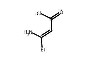 CCC(N)=CC(=O)Cl